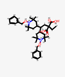 CCC(CC(C1CC(C)(C)N(OCc2ccccc2)C(C)(C)C1)C1CC(C)(C)N(OCc2ccccc2)C(C)(C)C1)(C(=O)O)C(=O)O